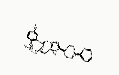 CN(Cc1nnc(C2CCN(c3ccccn3)CC2)o1)C(=O)c1cc(Cl)ccc1N